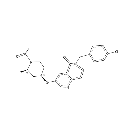 CC(=O)N1CC[C@@H](Oc2cnc3ccn(Cc4ccc(Cl)cc4)c(=O)c3c2)C[C@H]1C